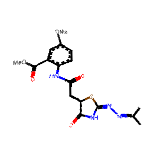 COC(=O)c1cc(OC)ccc1NC(=O)CC1S/C(=N/N=C(C)C)NC1=O